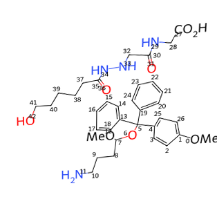 COc1ccc(C(OC(CCCN)OC)(c2ccccc2)c2ccccc2)cc1.O=C(O)CNC(=O)CNNC(=O)CCCCCO